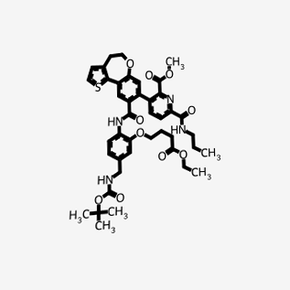 CCCNC(=O)c1ccc(-c2cc3c(cc2C(=O)Nc2ccc(CNC(=O)OC(C)(C)C)cc2OCCCC(=O)OCC)-c2sccc2CCO3)c(C(=O)OC)n1